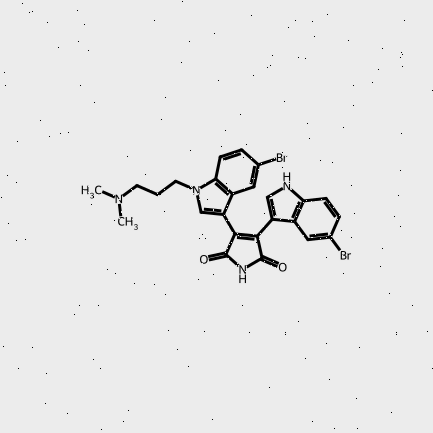 CN(C)CCCn1cc(C2=C(c3c[nH]c4ccc(Br)cc34)C(=O)NC2=O)c2cc(Br)ccc21